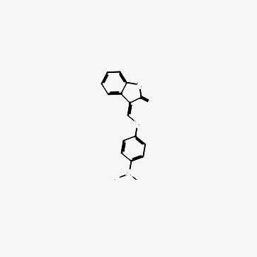 CCCCN(CC)c1ccc(NC=C2C(=O)Nc3ccccc32)cc1